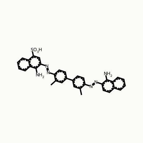 Cc1cc(-c2ccc(N=Nc3cc(S(=O)(=O)O)c4ccccc4c3N)c(C)c2)ccc1N=Nc1ccc2ccccc2c1N